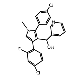 Cn1cc(-c2ccc(Cl)cc2F)c(C(O)c2cccnc2)c1-c1ccc(Cl)cc1